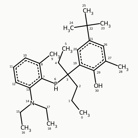 CCCC(CC)(Pc1c(C)cccc1N(CC)CC)c1cc(C(C)(C)C)cc(C)c1O